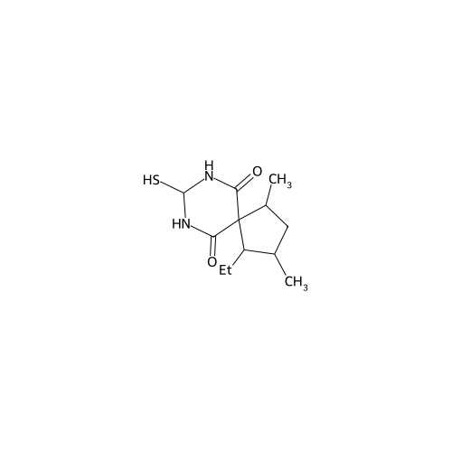 CCC1C(C)CC(C)C12C(=O)NC(S)NC2=O